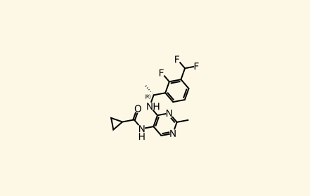 Cc1ncc(NC(=O)C2CC2)c(N[C@H](C)c2cccc(C(F)F)c2F)n1